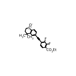 CCOC(=O)c1ccc(C#Cc2ccc3c(c2)C(C)(C)CC[S+]3[O-])c(F)c1F